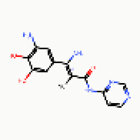 N#C/C(C(=O)Nc1ccncn1)=C(/N)c1cc(N)c(O)c(O)c1